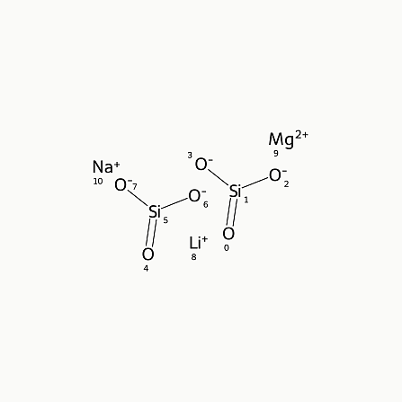 O=[Si]([O-])[O-].O=[Si]([O-])[O-].[Li+].[Mg+2].[Na+]